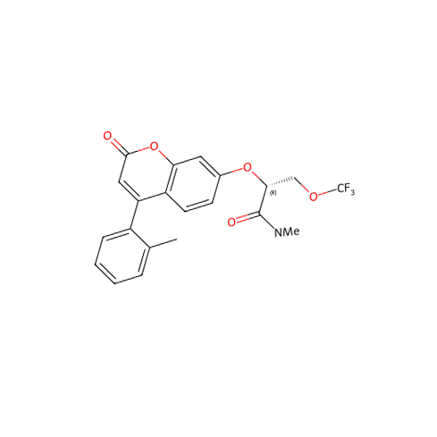 CNC(=O)[C@@H](COC(F)(F)F)Oc1ccc2c(-c3ccccc3C)cc(=O)oc2c1